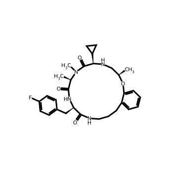 C[C@@H]1CN[C@H](C2CC2)C(=O)N(C)[C@H](C)C(=O)N[C@H](Cc2ccc(F)cc2)C(=O)NCCCc2ccccc2O1